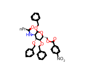 CCCC(=O)N[C@H]1C(OCc2ccccc2)O[C@H](COC(=O)c2ccc([N+](=O)[O-])cc2)[C@@H](OCc2ccccc2)[C@@H]1OCc1ccccc1